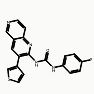 O=C(Nc1ccc(F)cc1)Nc1nc2ccncc2cc1-c1ccsc1